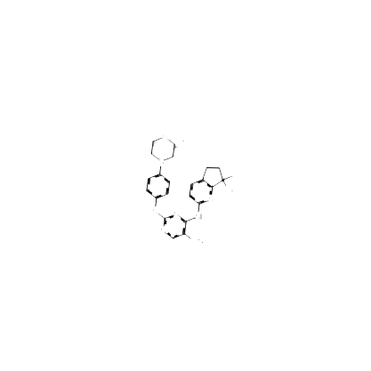 CCC1(O)CCc2ccc(Nc3nc(Nc4ccc(N5C[C@@H](C)N[C@@H](C)C5)cc4)ncc3C#N)nc21